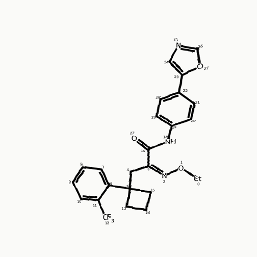 CCON=C(CC1(c2ccccc2C(F)(F)F)CCC1)C(=O)Nc1ccc(-c2cnco2)cc1